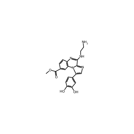 COC(=O)c1ccc2nc(NCCN)c3ncc(-c4ccc(O)c(O)c4)n3c2c1